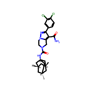 C[C@]12C[C@@H]3C[C@](C)(C1)C[C@](NC(=O)N1CCn4nc(-c5ccc(Cl)c(Cl)c5)c(C(N)=O)c4C1)(C3)C2